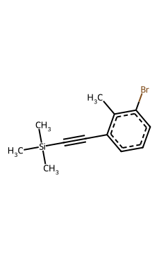 Cc1c(Br)cccc1C#C[Si](C)(C)C